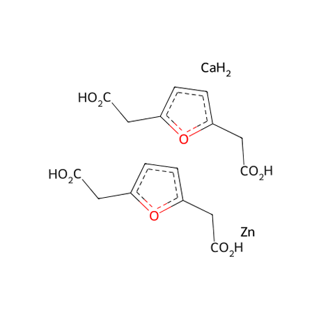 O=C(O)Cc1ccc(CC(=O)O)o1.O=C(O)Cc1ccc(CC(=O)O)o1.[CaH2].[Zn]